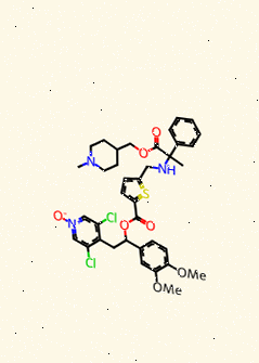 COc1ccc(C(Cc2c(Cl)c[n+]([O-])cc2Cl)OC(=O)c2ccc(CNC(C)(C(=O)OCC3CCN(C)CC3)c3ccccc3)s2)cc1OC